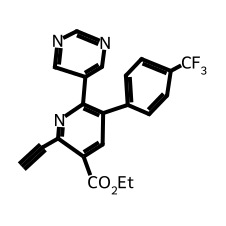 C#Cc1nc(-c2cncnc2)c(-c2ccc(C(F)(F)F)cc2)cc1C(=O)OCC